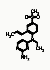 CC=Cc1cc(S(C)(=O)=O)ccc1N(CC)c1ccnc(N)n1